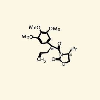 C=CC[C@H](C(=O)N1C(=O)OC[C@@H]1C(C)C)c1cc(OC)c(OC)c(OC)c1